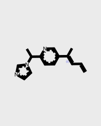 C=C/C=C(\C)c1ccc(C(C)n2ccnc2)nc1